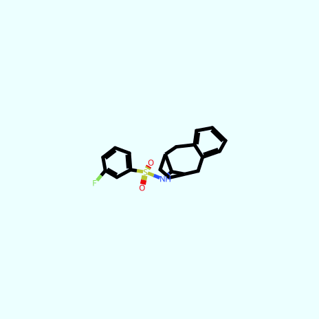 O=S(=O)(NC1C2CCC1Cc1ccccc1C2)c1cccc(F)c1